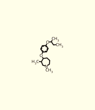 CCC(C)Oc1ccc(OC2CCCN(C)CC2C)cc1